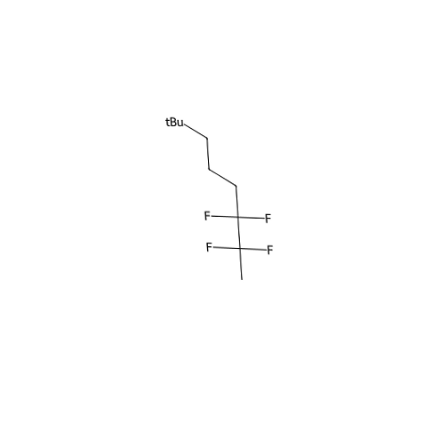 CC(C)(C)CCCC(F)(F)C(C)(F)F